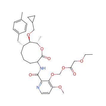 CCOCC(=O)OCOc1c(OC)ccnc1C(=O)NC1CCC[C@H](Cc2ccc(C)cc2)[C@@H](OCC2CC2)[C@H](C)OC1=O